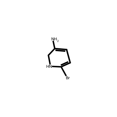 NC1=CC=C(Br)NC1